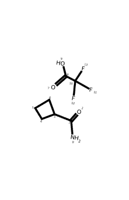 NC(=O)C1CCC1.O=C(O)C(F)(F)F